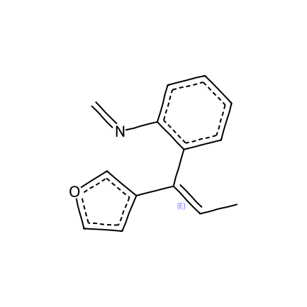 C=Nc1ccccc1/C(=C\C)c1ccoc1